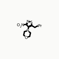 CC(C)Cc1snc([N+](=O)[O-])c1N1CCOCC1